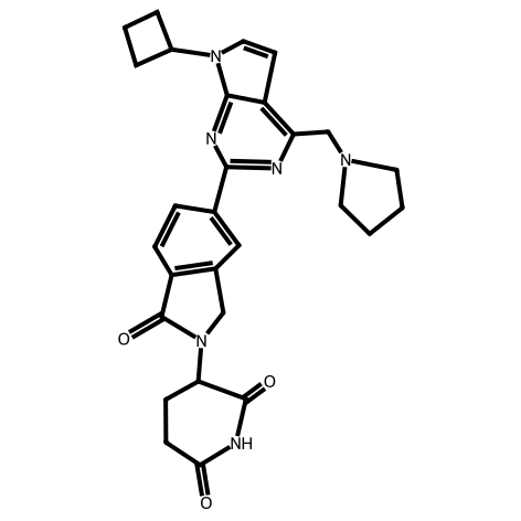 O=C1CCC(N2Cc3cc(-c4nc(CN5CCCC5)c5ccn(C6CCC6)c5n4)ccc3C2=O)C(=O)N1